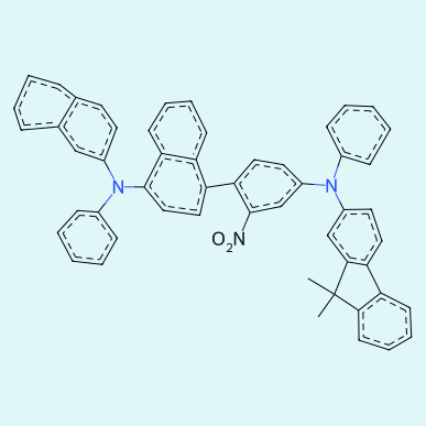 CC1(C)c2ccccc2-c2ccc(N(c3ccccc3)c3ccc(-c4ccc(N(c5ccccc5)c5ccc6ccccc6c5)c5ccccc45)c([N+](=O)[O-])c3)cc21